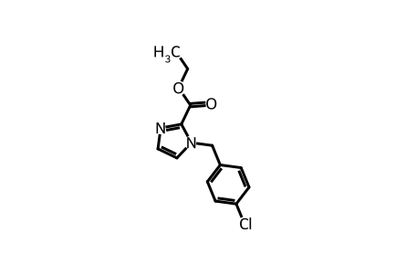 CCOC(=O)c1nccn1Cc1ccc(Cl)cc1